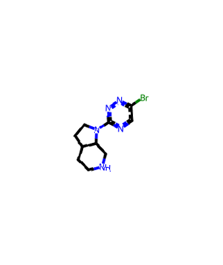 Brc1cnc(N2CCC3CCNCC32)nn1